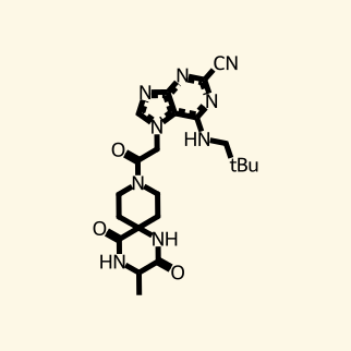 CC1NC(=O)C2(CCN(C(=O)Cn3cnc4nc(C#N)nc(NCC(C)(C)C)c43)CC2)NC1=O